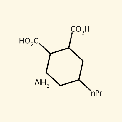 CCCC1CCC(C(=O)O)C(C(=O)O)C1.[AlH3]